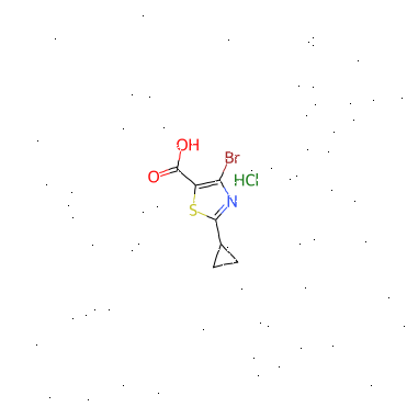 Cl.O=C(O)c1sc(C2CC2)nc1Br